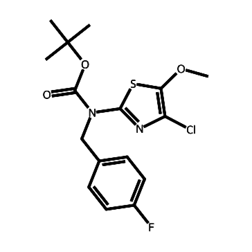 COc1sc(N(Cc2ccc(F)cc2)C(=O)OC(C)(C)C)nc1Cl